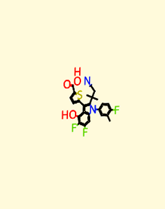 Cc1cc(-n2c(C(C)(C)CC#N)c(-c3ccc(C(=O)O)s3)c3c(O)c(F)c(F)cc32)ccc1F